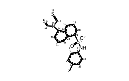 Cc1ccc(NS(=O)(=O)c2cccc3c(N(C=S)C=S)cccc23)cc1